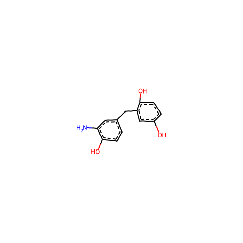 Nc1cc(Cc2cc(O)ccc2O)ccc1O